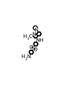 Cc1cc(Nc2ccc(S(=O)(=O)c3ccc(N)cc3)cc2)c2cccc(N3CCCCC3)c2n1